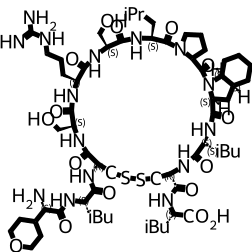 CCC(C)[C@H](NC(=O)[C@@H]1CSSC[C@H](NC(=O)[C@@H](NC(=O)[C@@H](N)C2CCOCC2)C(C)CC)C(=O)N[C@@H](CO)C(=O)N[C@@H](CCCNC(=N)N)C(=O)N[C@@H](CO)C(=O)N[C@@H](CC(C)C)C(=O)N2CCCC2C(=O)N2[C@@H](C[C@@H]3CCCC[C@@H]32)C(=O)N[C@@H]([C@@H](C)CC)C(=O)N1)C(=O)O